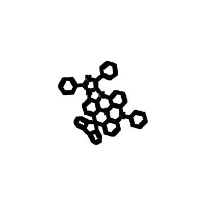 c1ccc(-c2nc(-c3ccccc3)n3c4ccc5c6c4n(c23)-c2cccc3c2B6c2c(cccc2C52c4ccccc4-c4ccccc42)N3c2ccccc2)cc1